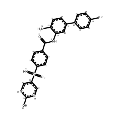 N=S(=O)(c1ccc(C(=O)Nc2cc(-c3ccc(F)cc3)ccc2N)cc1)c1cnc(O)nc1